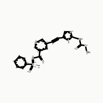 CC(C)(C)OC(=O)Nc1ncc(C#Cc2cncc(C(=O)N=[S@@](C)(=O)c3ccccc3)c2)s1